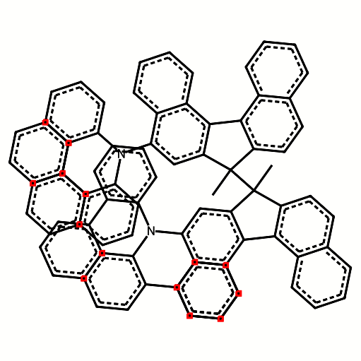 CC1(C2(C)c3ccc4ccccc4c3-c3c2cc(N(c2ccccc2-c2ccccc2)c2ccccc2-c2ccccc2)c2ccccc32)c2ccc3ccccc3c2-c2c1cc(N(c1ccccc1-c1ccccc1)c1ccccc1-c1ccccc1)c1ccccc21